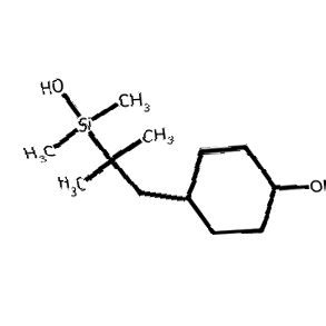 CC(C)(CC1CCC(O)CC1)[Si](C)(C)O